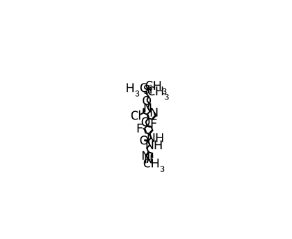 Cn1ccc(CNC(=O)Nc2cc(F)c(Oc3ccnc4c3c(Cl)cn4COCC[Si](C)(C)C)c(F)c2)n1